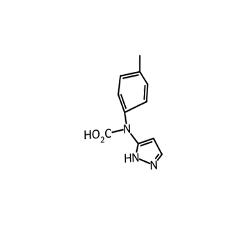 Cc1ccc(N(C(=O)O)c2ccn[nH]2)cc1